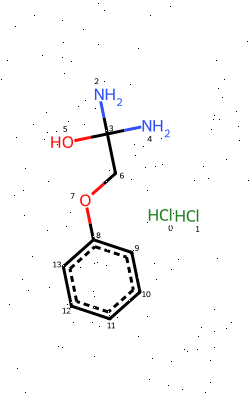 Cl.Cl.NC(N)(O)COc1ccccc1